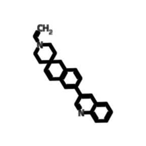 C=CN1CCC2(C=Cc3cc(-c4cnc5ccccc5c4)ccc3C2)CC1